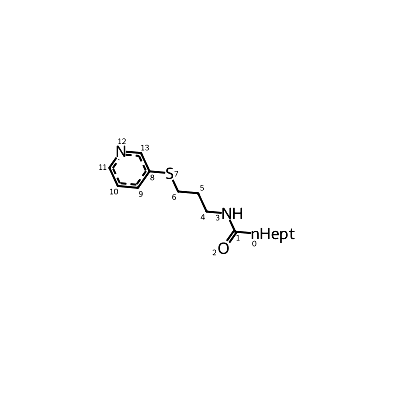 CCCCCCCC(=O)NCCCSc1cccnc1